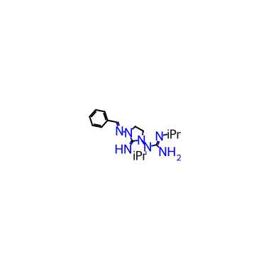 CC(C)N=C(N)N(C(C)C)N1CCN(N=Cc2ccccc2)C1=N